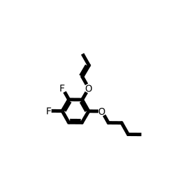 CC=COc1c(OCCCC)ccc(F)c1F